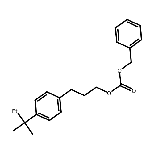 CCC(C)(C)c1ccc(CCCOC(=O)OCc2ccccc2)cc1